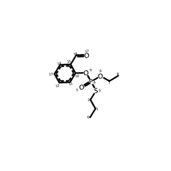 CCCSP(=O)(OCC)Oc1ccccc1C=O